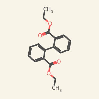 CCOC(=O)c1ccccc1-c1ccccc1C(=O)OCC